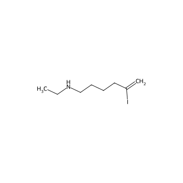 C=C(I)CCCCNCC